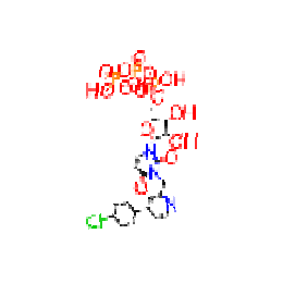 O=c1ccn([C@@H]2O[C@H](COP(=O)(O)OP(=O)(O)OP(=O)(O)O)C(O)C2O)c(=O)n1Cc1cc(-c2ccc(Cl)cc2)ccn1